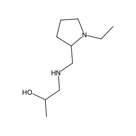 CCN1CCCC1CNCC(C)O